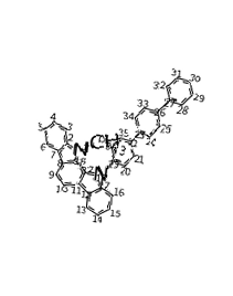 Cn1c2ccccc2c2ccc3c4ccccc4n(-c4ccc(-c5ccc(-c6ccccc6)cc5)cc4)c3c21